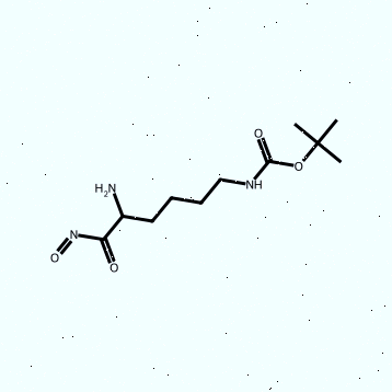 CC(C)(C)OC(=O)NCCCCC(N)C(=O)N=O